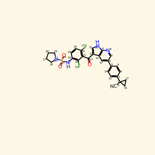 N#CC1(c2ccc(-c3cnc4[nH]cc(C(=O)c5c(F)ccc(NS(=O)(=O)N6CCCC6)c5F)c4c3)cc2)CC1